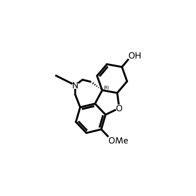 COc1ccc2c3c1OC1CC(O)C=C[C@]31CCN(C)C2